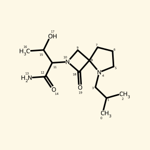 CC(C)CN1CCCC12CN(C(C(N)=O)C(C)O)C2=O